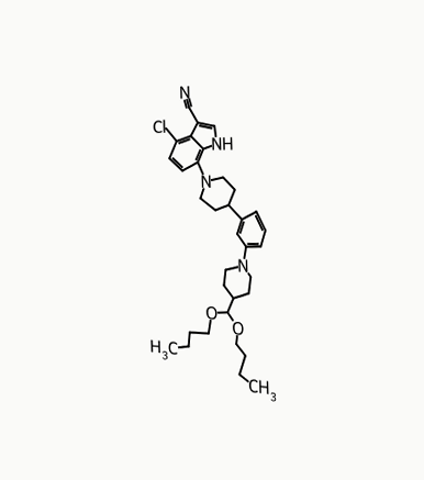 CCCCOC(OCCCC)C1CCN(c2cccc(C3CCN(c4ccc(Cl)c5c(C#N)c[nH]c45)CC3)c2)CC1